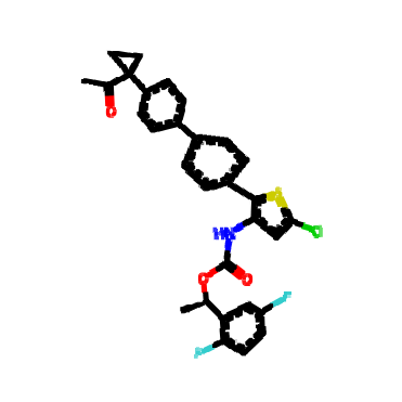 CC(=O)C1(c2ccc(-c3ccc(-c4sc(Cl)cc4NC(=O)O[C@H](C)c4cc(F)ccc4F)cc3)cc2)CC1